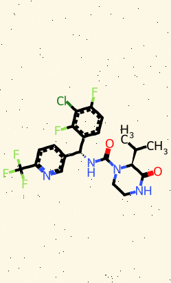 CC(C)[C@H]1C(=O)NCCN1C(=O)N[C@H](c1ccc(C(F)(F)F)nc1)c1ccc(F)c(Cl)c1F